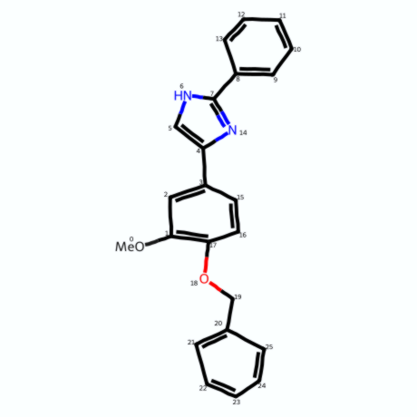 COc1cc(-c2c[nH]c(-c3ccccc3)n2)ccc1OCc1ccccc1